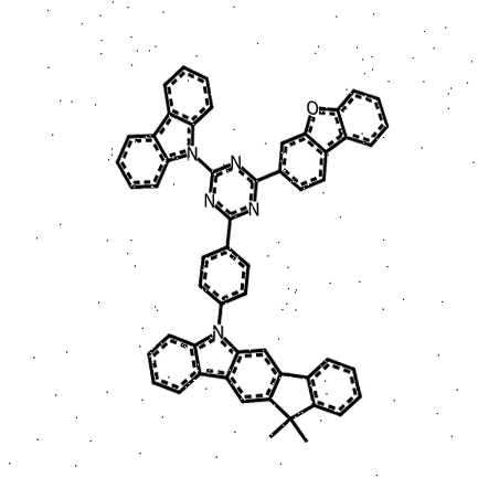 CC1(C)c2ccccc2-c2cc3c(cc21)c1ccccc1n3-c1ccc(-c2nc(-c3ccc4c(c3)oc3ccccc34)nc(-n3c4ccccc4c4ccccc43)n2)cc1